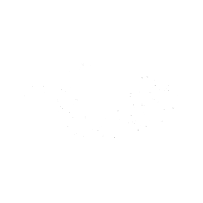 c1ccc(-c2nc(-c3ccccc3)nc(-c3cccc(-c4cccc(-c5ccc6c(c5)C5(c7cnccc7Oc7ccncc75)c5ccccc5-6)c4)c3)n2)cc1